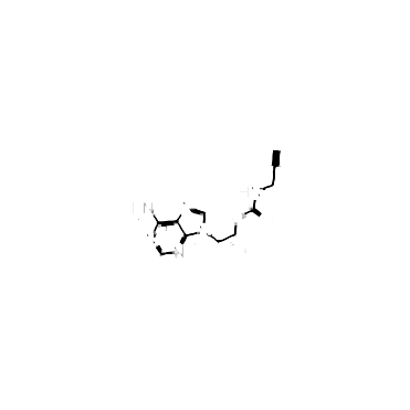 C#CCNC(=O)O[C@H](C)Cn1cnc2c(N)ncnc21